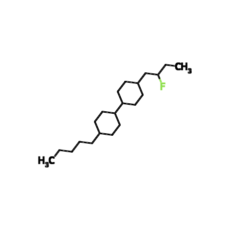 CCCCCC1CCC(C2CCC(CC(F)CC)CC2)CC1